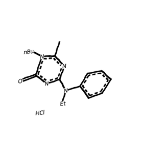 CCCCn1c(C)nc(N(CC)c2ccccc2)nc1=O.Cl